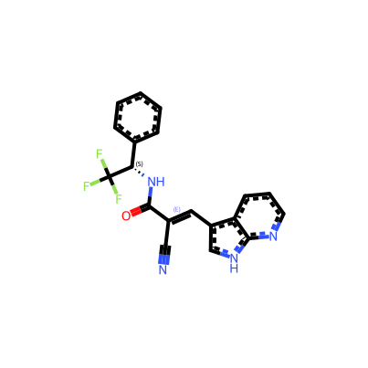 N#C/C(=C\c1c[nH]c2ncccc12)C(=O)N[C@@H](c1ccccc1)C(F)(F)F